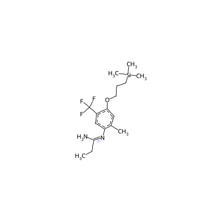 CC/C(N)=N/c1cc(C(F)(F)F)c(OCCC[Si](C)(C)C)cc1C